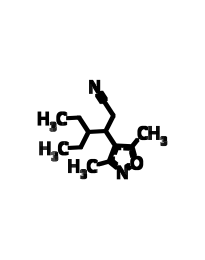 CCC(CC)C(CC#N)c1c(C)noc1C